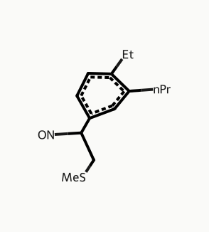 CCCc1cc(C(CSC)N=O)ccc1CC